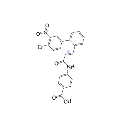 O=C(/C=C/c1ccccc1-c1ccc(Cl)c([N+](=O)[O-])c1)Nc1ccc(C(=O)O)cc1